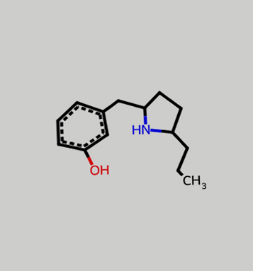 CCCC1CCC(Cc2cccc(O)c2)N1